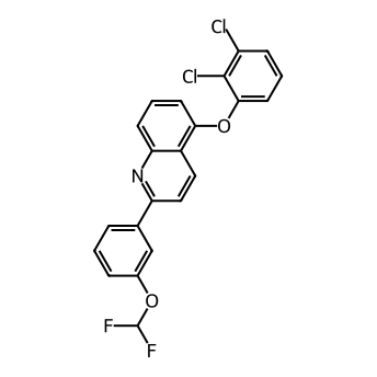 FC(F)Oc1cccc(-c2ccc3c(Oc4cccc(Cl)c4Cl)cccc3n2)c1